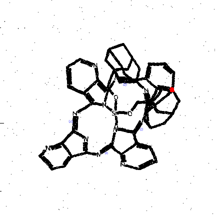 c1cnc2c(c1)C1=NC/2=N\c2c3cccnc3c3n2[Si](OCC24CC5CC(CC(C5)C2)C4)(OCC24CC5CC(CC(C5)C2)C4)n2/c(c4cccnc4/c2=N/1)=N\C1=NC(=N\3)/c2cccnc21